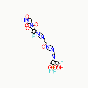 O=C1CCC(N2C(=O)c3cc(F)c(N4CCN(CCCC(=O)N5CCN(CC6CN(c7ccc(S(=O)(=O)C(F)F)c8c7CC(F)[C@H]8O)C6)CC5)CC4)cc3C2=O)C(=O)N1